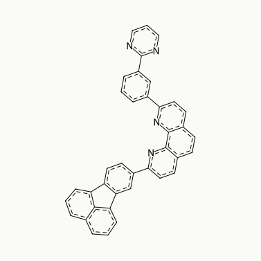 c1cnc(-c2cccc(-c3ccc4ccc5ccc(-c6ccc7c(c6)-c6cccc8cccc-7c68)nc5c4n3)c2)nc1